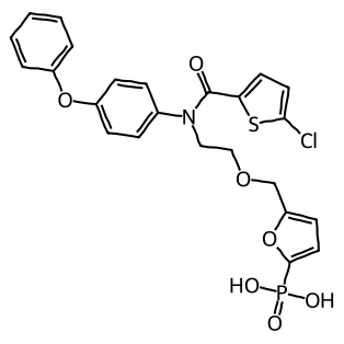 O=C(c1ccc(Cl)s1)N(CCOCc1ccc(P(=O)(O)O)o1)c1ccc(Oc2ccccc2)cc1